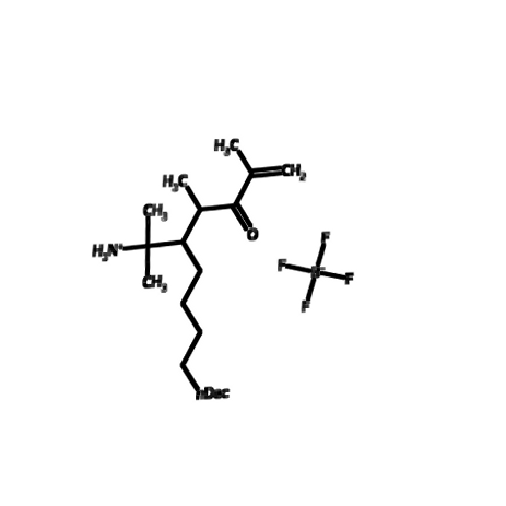 C=C(C)C(=O)C(C)C(CCCCCCCCCCCCCC)C(C)(C)[NH3+].F[B-](F)(F)F